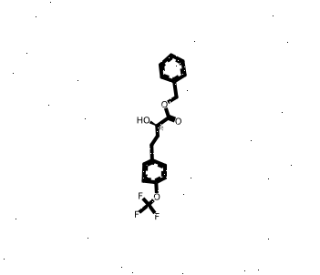 O=C(OCc1ccccc1)[C@H](O)CCc1ccc(OC(F)(F)F)cc1